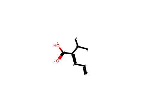 C=C/C=C(/C(=O)O)C(C)C